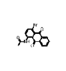 CC(=O)Nc1ccc(Br)c2c1C(=O)c1ccccc1C2=O